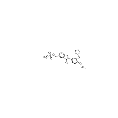 COc1ccc(N2Cc3ccc(COS(C)(=O)=O)cc3C2=O)cc1OC1CCCC1